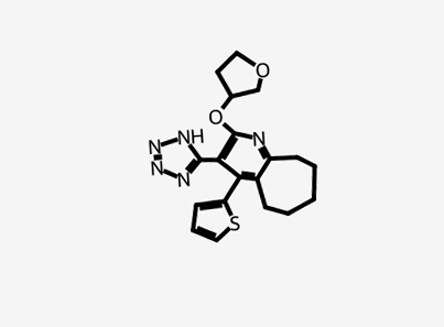 c1csc(-c2c3c(nc(OC4CCOC4)c2-c2nnn[nH]2)CCCCC3)c1